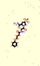 CS(=O)(=O)C1CC(C(N)=O)N(C(=O)CNC(=O)CCCOc2ccccc2)C1